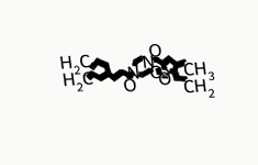 C=C\C=C/C(/C=C/C(=O)N1CCN(C(=O)C2=CC(=C/C)/C(=C\C=C)S2(=O)=O)CC1)=C\C=C